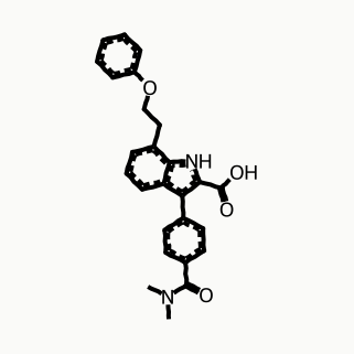 CN(C)C(=O)c1ccc(-c2c(C(=O)O)[nH]c3c(CCOc4ccccc4)cccc23)cc1